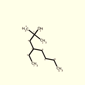 [CH2]C(C)(O)CC(CC)CCCC